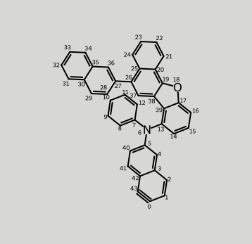 c1ccc2cc(N(c3ccccc3)c3cccc4oc5c6ccccc6c(-c6ccc7ccccc7c6)cc5c34)ccc2c#1